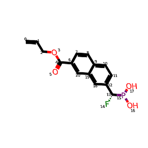 C=CCOC(=O)c1ccc2ccc([C@@H](F)P(O)O)cc2c1